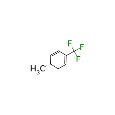 C[C@@H]1C=CC(C(F)(F)F)=CC1